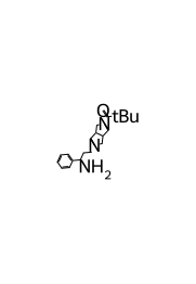 CC(C)(C)C(=O)N1CC2CN(CC[C@H](N)c3ccccc3)CC2C1